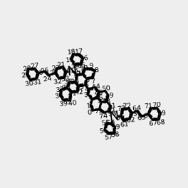 C1=Cc2cc(-c3c4ccccc4c(N(c4ccccc4)c4ccc(C=Cc5ccccc5)cc4)c4cc5ccccc5cc34)cc3c2C2C(=CC3)C=C(N(c3ccccc3)c3ccc(C=Cc4ccccc4)cc3)C=C12